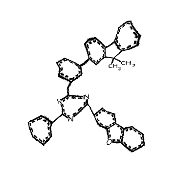 CC1(C)c2ccccc2-c2ccc(-c3cccc(-c4nc(-c5ccccc5)nc(-c5ccc6c(c5)oc5ccccc56)n4)c3)cc21